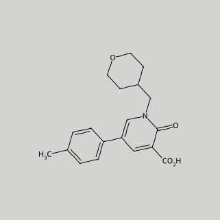 Cc1ccc(-c2cc(C(=O)O)c(=O)n(CC3CCOCC3)c2)cc1